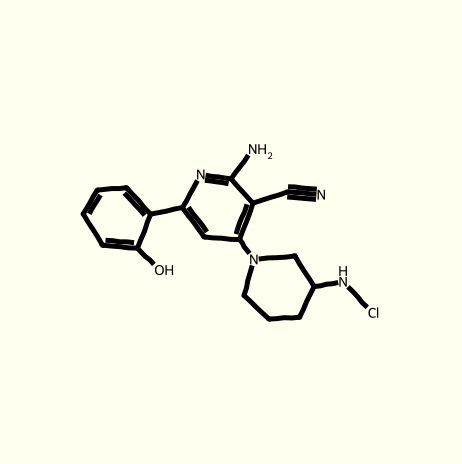 N#Cc1c(N2CCCC(NCl)C2)cc(-c2ccccc2O)nc1N